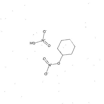 O=[N+]([O-])O.O=[N+]([O-])OC1CCCCC1